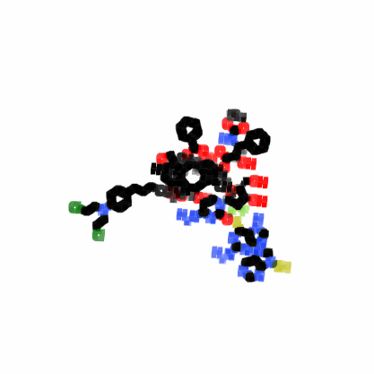 CC(=O)O[C@@]12CO[C@@H]1C[C@H](O)[C@@]1(C)C(=O)[C@H](O)C3=C(C)[C@@H](OC(=O)[C@H](O)[C@@H](NC(=O)OC(C)(C)C)c4ccccc4)C[C@@](O)([C@@H](OC(=O)c4ccccc4)[C@H]21)C3(C)C.Nc1ccn([C@@H]2O[C@H](CO)[C@@H](O)C2(F)F)c(=O)n1.Nc1nc(=S)c2[nH]cnc2[nH]1.O=C(O)CCCc1ccc(N(CCCl)CCCl)cc1.Sn1cnc2cncnc21